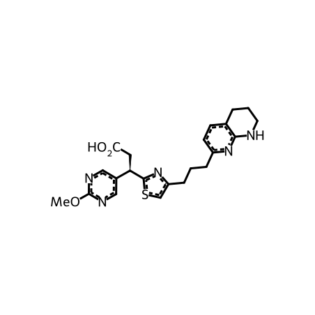 COc1ncc([C@@H](CC(=O)O)c2nc(CCCc3ccc4c(n3)NCCC4)cs2)cn1